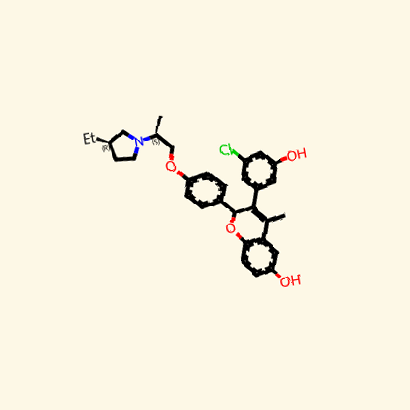 CC[C@@H]1CCN([C@@H](C)COc2ccc(C3Oc4ccc(O)cc4C(C)=C3c3cc(O)cc(Cl)c3)cc2)C1